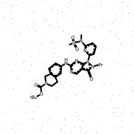 CC(C)n1c(=O)c2cnc(Nc3ccc4c(c3)CCN(C(=O)OC(C)(C)C)C4)nc2n1-c1cccc(N(C)S(C)(=O)=O)n1